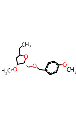 CCC1C[C@@H](OC)[C@@H](COCc2ccc(OC)cc2)O1